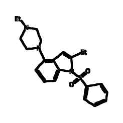 CCc1cc2c(N3CCN(CC)CC3)cccc2n1S(=O)(=O)c1ccccc1